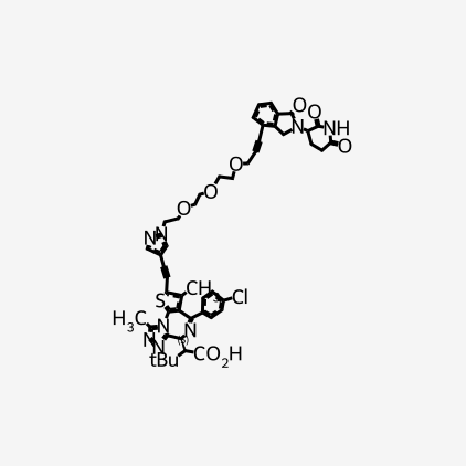 Cc1c(C#Cc2cnn(CCOCCOCCOCC#Cc3cccc4c3CN(C3CCC(=O)NC3=O)C4=O)c2)sc2c1C(c1ccc(Cl)cc1)=N[C@@H](C(C(=O)O)C(C)(C)C)c1nnc(C)n1-2